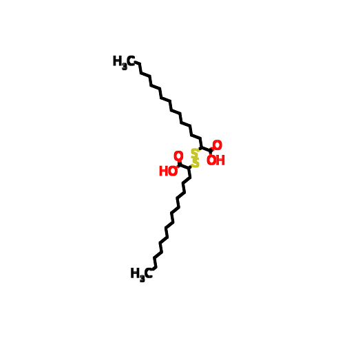 CCCCCCCCCCCCCCC(SSC(CCCCCCCCCCCCCC)C(=O)O)C(=O)O